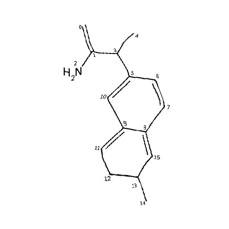 C=C(N)C(C)c1ccc2c(c1)=CCC(C)C=2